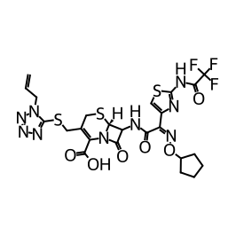 C=CCn1nnnc1SCC1=C(C(=O)O)N2C(=O)C(NC(=O)/C(=N\OC3CCCC3)c3csc(NC(=O)C(F)(F)F)n3)[C@H]2SC1